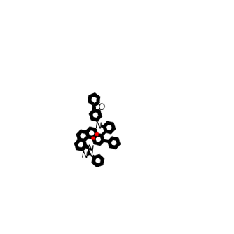 c1ccc(-c2ccccc2-c2ccccc2N(c2ccc3c(ccc4ccc5nn(-c6ccccc6)nc5c43)c2)c2ccc3c(c2)oc2ccccc23)cc1